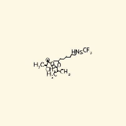 C=C(C)C(=O)OCC(CCCCCCNSC(F)(F)F)OC(=O)C(=C)C